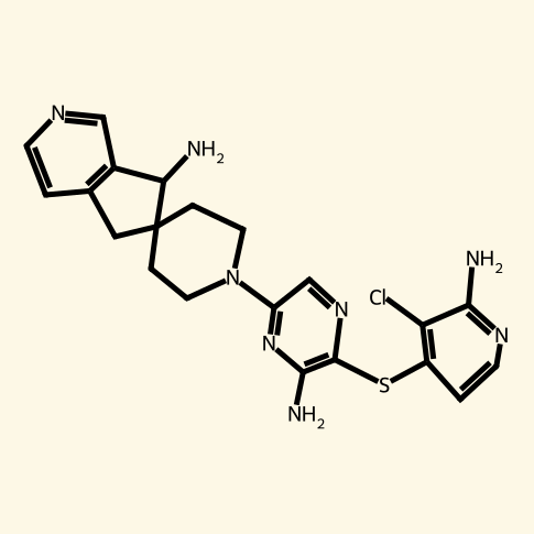 Nc1nc(N2CCC3(CC2)Cc2ccncc2C3N)cnc1Sc1ccnc(N)c1Cl